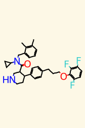 Cc1cccc(CN(C(=O)C2CNCCC2c2ccc(CCCOc3c(F)ccc(F)c3F)cc2)C2CC2)c1C